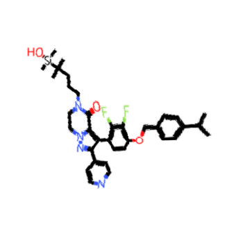 CC(C)c1ccc(COc2ccc(-c3c(-c4ccncc4)nn4c3C(=O)N(CCCC(C)(C)[Si](C)(C)O)CC4)c(F)c2F)cc1